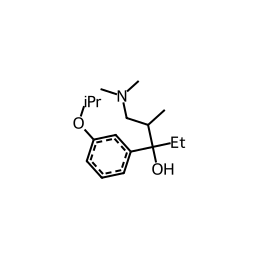 CCC(O)(c1cccc(OC(C)C)c1)C(C)CN(C)C